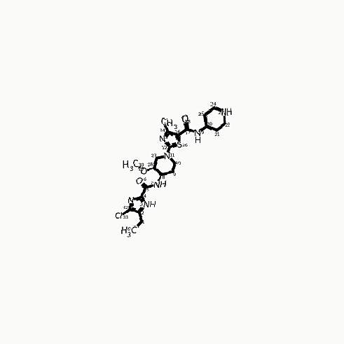 CCc1[nH]c(C(=O)N[C@@H]2CCN(c3nc(C)c(C(=O)NC4CCNCC4)s3)C[C@@H]2OC)nc1Cl